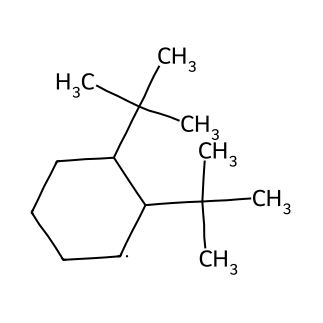 CC(C)(C)C1[CH]CCCC1C(C)(C)C